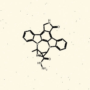 CC12OCC(n3c4ccccc4c4c5c(c6c7ccccc7n1c6c43)CNC5=O)C2(O)C(=O)NN